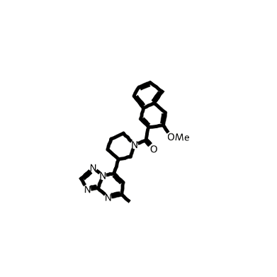 COc1cc2ccccc2cc1C(=O)N1CCCC(c2cc(C)nc3ncnn23)C1